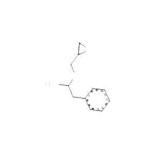 [CH2]C(Cc1ccccc1)OCC1CO1